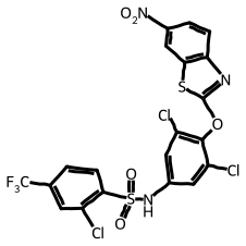 O=[N+]([O-])c1ccc2nc(Oc3c(Cl)cc(NS(=O)(=O)c4ccc(C(F)(F)F)cc4Cl)cc3Cl)sc2c1